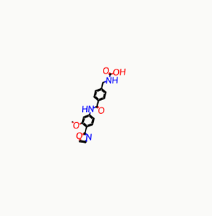 COc1cc(NC(=O)c2ccc(CNC(=O)O)cc2)ccc1-c1ncco1